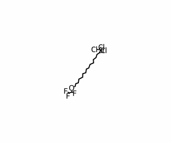 FC(F)C(F)OCCCCCCCCCCCCCCC[Si](Cl)(Cl)Cl